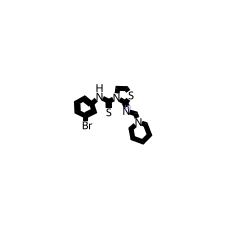 S=C(Nc1cccc(Br)c1)N1CCS/C1=N\CN1CCCCC1